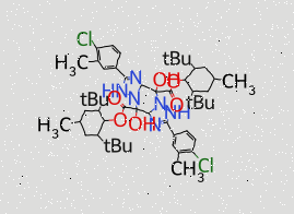 Cc1cc(C2=NC3N(N2)C(O)(C(=O)OC2C(C(C)(C)C)CC(C)CC2C(C)(C)C)C2N=C(c4ccc(Cl)c(C)c4)NN2C3(O)C(=O)OC2C(C(C)(C)C)CC(C)CC2C(C)(C)C)ccc1Cl